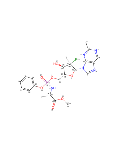 Cc1ncc2ncn([C@@H]3O[C@H](CO[P@@](=O)(N[C@@H](C)C(=O)OC(C)C)Oc4ccccc4)[C@@H](O)[C@@]3(C)F)c2n1